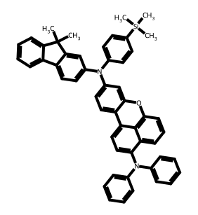 CC1(C)c2ccccc2-c2ccc(N(c3ccc([Si](C)(C)C)cc3)c3ccc4c(c3)Oc3cccc5c(N(c6ccccc6)c6ccccc6)ccc-4c35)cc21